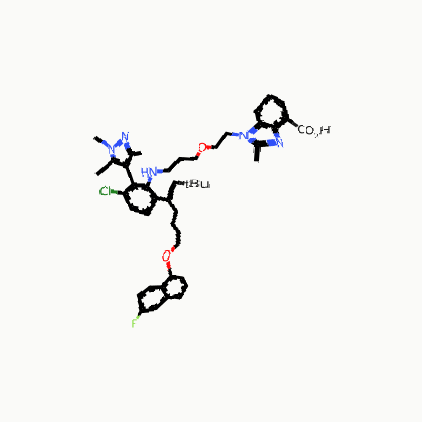 Cc1nn(C)c(C)c1-c1c(Cl)ccc(/C(=C/C(C)(C)C)CCCOc2cccc3cc(F)ccc23)c1NCCCOCCn1c(C)nc2c(C(=O)O)cccc21